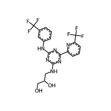 OCC(O)CNc1nc(Nc2cccc(C(F)(F)F)c2)nc(-c2cccc(C(F)(F)F)n2)n1